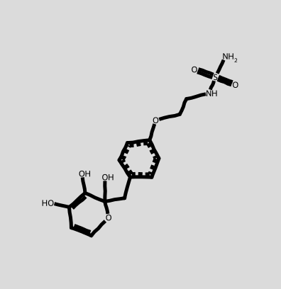 NS(=O)(=O)NCCOc1ccc(CC2(O)OC=CC(O)=C2O)cc1